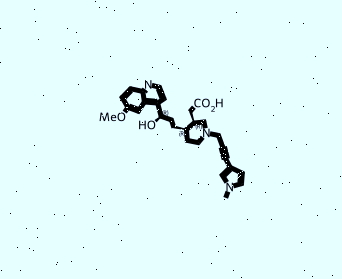 COc1ccc2nccc([C@H](O)CC[C@@H]3CCN(CC#Cc4ccn(C)c4)C[C@@H]3CC(=O)O)c2c1